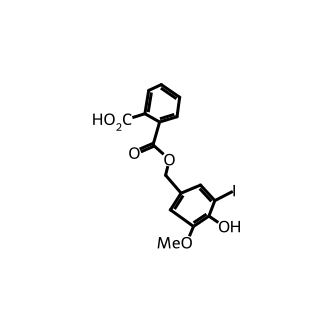 COc1cc(COC(=O)c2ccccc2C(=O)O)cc(I)c1O